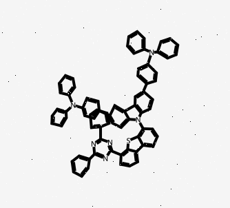 c1ccc(-c2nc(-c3ccccc3)nc(-c3cccc4c3sc3c(-n5c6ccc(-c7ccc(N(c8ccccc8)c8ccccc8)cc7)cc6c6cc(-c7ccc(N(c8ccccc8)c8ccccc8)cc7)ccc65)cccc34)n2)cc1